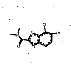 CN(C)C(=O)c1nc2ccc(Br)c(Cl)c2s1